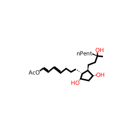 CCCCC[C@](C)(O)CC[C@@H]1[C@@H](CCC/C=C/C=C/OC(C)=O)[C@@H](O)C[C@H]1O